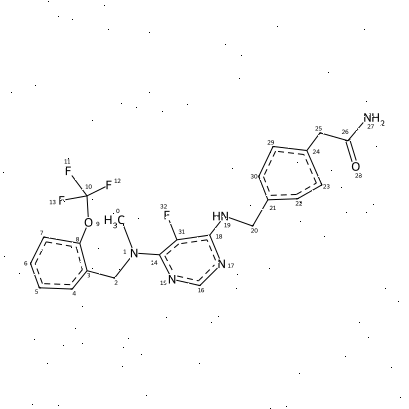 CN(Cc1ccccc1OC(F)(F)F)c1ncnc(NCc2ccc(CC(N)=O)cc2)c1F